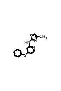 Cc1csc(Nc2cc(Sc3ccccc3)ccn2)n1